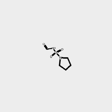 O=[C]NS(=O)(=O)N1CCCC1